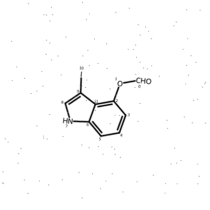 O=COc1cccc2[nH]cc(I)c12